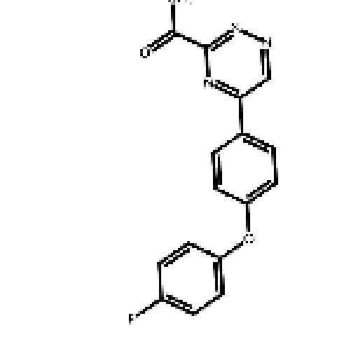 NC(=O)c1nncc(-c2ccc(Oc3ccc(F)cc3)cc2)n1